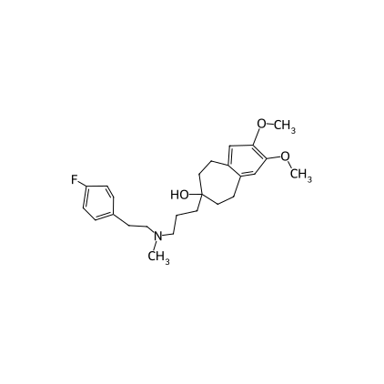 COc1cc2c(cc1OC)CCC(O)(CCCN(C)CCc1ccc(F)cc1)CC2